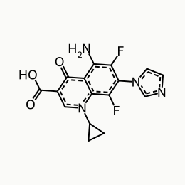 Nc1c(F)c(-n2ccnc2)c(F)c2c1c(=O)c(C(=O)O)cn2C1CC1